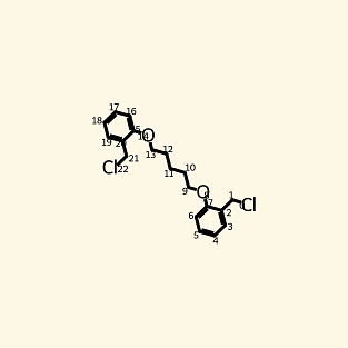 ClCc1ccccc1OCCCCCOc1ccccc1CCl